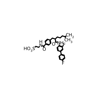 C=C(C)CCCC(Cc1ccc(C(=O)NCCS(=O)(=O)O)cc1)C(=O)Nc1ccc(-c2ccc(F)cc2)cc1F